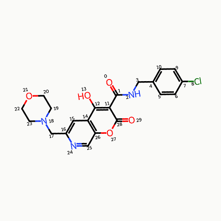 O=C(NCc1ccc(Cl)cc1)c1c(O)c2cc(CN3CCOCC3)ncc2oc1=O